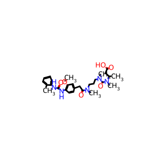 COc1cc(CC(=O)N(C)CCCN(C)C(=O)N(C)C(C)CC(=O)O)ccc1NC(=O)Nc1ccccc1C